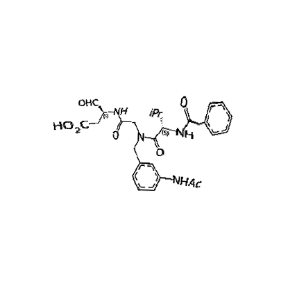 CC(=O)Nc1cccc(CN(CC(=O)N[C@H](C=O)CC(=O)O)C(=O)[C@@H](NC(=O)c2ccccc2)C(C)C)c1